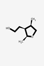 C[C@@H]1OC[C@H](C)[C@@H]1CCO